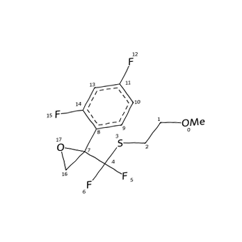 COCCSC(F)(F)C1(c2ccc(F)cc2F)CO1